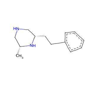 C[C@@H]1CNC[C@H](CCc2ccccc2)N1